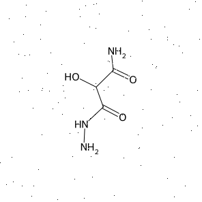 NNC(=O)C(O)C(N)=O